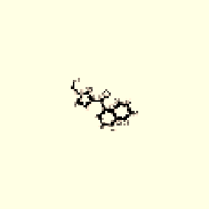 CCn1ccc(C(=O)c2cccc3ccccc23)c1